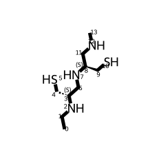 CCN[C@H](CS)CN[C@H](CS)CNC